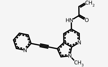 C=CC(=O)Nc1cnc2c(c1)c(C#Cc1ccccn1)cn2C